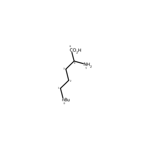 CCCCCCCC(N)C(=O)O